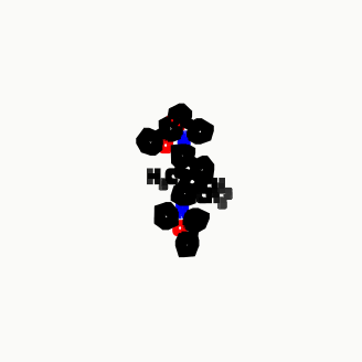 Cc1c2c3c(cccc3c3cc(N(c4ccccc4-c4ccccc4)c4cccc5c4oc4ccccc45)ccc13)C(C)(C)c1cc(N(c3ccccc3)c3cccc4c3oc3ccccc34)ccc1-2